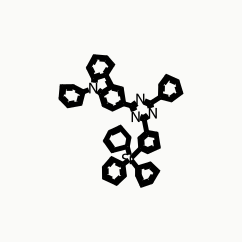 C1=CCC([Si](c2ccccc2)(c2ccccc2)c2cccc(-c3nc(-c4ccccc4)nc(-c4ccc5c(c4)c4ccccc4n5-c4ccccc4)n3)c2)C=C1